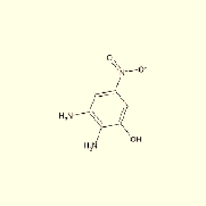 Nc1cc([N+](=O)[O-])cc(O)c1N